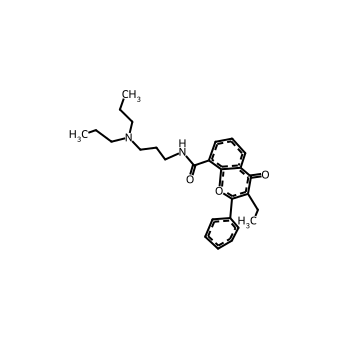 CCCN(CCC)CCCNC(=O)c1cccc2c(=O)c(CC)c(-c3ccccc3)oc12